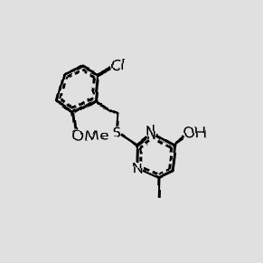 COc1cccc(Cl)c1CSc1nc(C)cc(O)n1